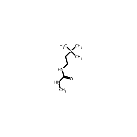 CNC(=O)NCCS(C)(C)C